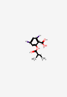 CCC(C)C(=O)Oc1cc(I)cc(I)c1C(=O)O